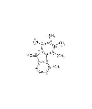 Cc1cccc2c1-c1c(C)c(C)c([SiH3])c(N)c1C2=O